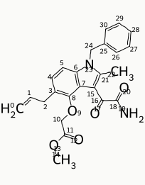 C=CCc1ccc2c(c1OCC(=O)OC)c(C(=O)C(N)=O)c(C)n2Cc1ccccc1